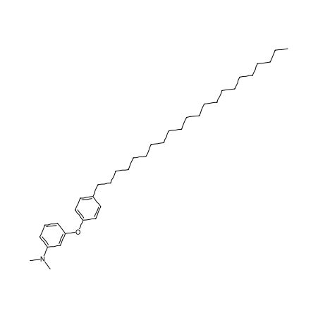 CCCCCCCCCCCCCCCCCCCCCCc1ccc(Oc2cccc(N(C)C)c2)cc1